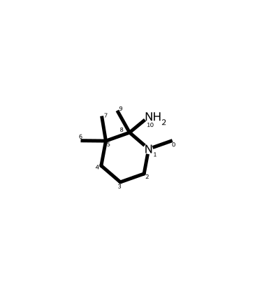 CN1CCCC(C)(C)C1(C)N